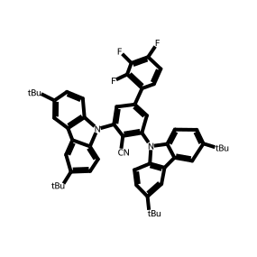 CC(C)(C)c1ccc2c(c1)c1cc(C(C)(C)C)ccc1n2-c1cc(-c2ccc(F)c(F)c2F)cc(-n2c3ccc(C(C)(C)C)cc3c3cc(C(C)(C)C)ccc32)c1C#N